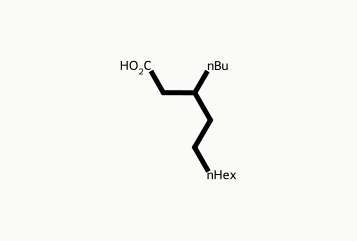 CCCCCCCCC(CCCC)CC(=O)O